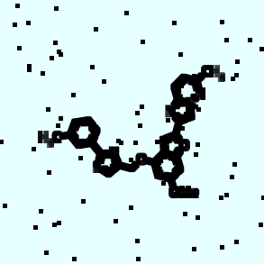 COc1cc(OCc2csc(-c3cccc(C)c3)n2)c2cc(-c3cn4nc(C)ccc4n3)oc2c1